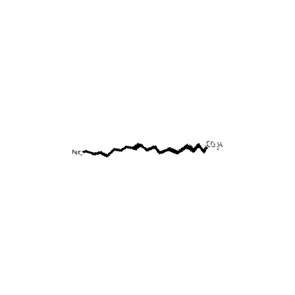 N#CCCCCCCCC=CCCCCCCCCCC(=O)O